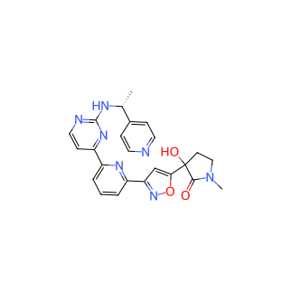 C[C@@H](Nc1nccc(-c2cccc(-c3cc(C4(O)CCN(C)C4=O)on3)n2)n1)c1ccncc1